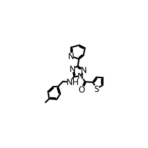 Cc1ccc(CNc2nc(-c3ccccn3)nn2C(=O)c2cccs2)cc1